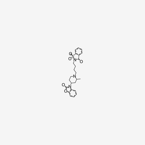 CC1CC(n2c(=O)oc3ccccc32)CCN1CCCCN1C(=O)c2ccccc2S1(=O)=O